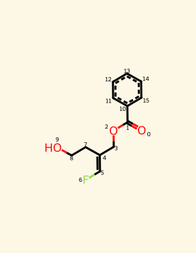 O=C(OC/C(=C/F)CCO)c1ccccc1